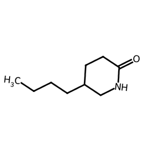 CCCCC1CCC(=O)NC1